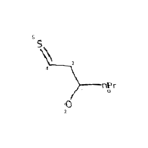 CCCC([O])CC=S